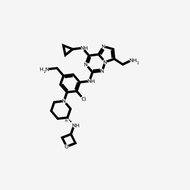 NCc1cc(Nc2nc(NC3CC3)c3ncc(CN)n3n2)c(Cl)c(N2CCC[C@@H](NC3COC3)C2)c1